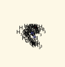 CC1(C)CON(Cc2ccccc2Cl)C1=O.CCSC(C)CC1CC(=O)C(/C(CC)=N/OC/C=C/Cl)=C(O)C1.Cc1ccc(NC(=O)N(C)C)cc1Cl.Cc1ccccc1COC1CC2(C(C)C)CCC1(C)O2